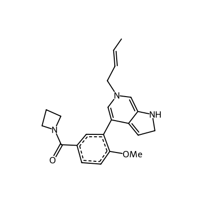 C/C=C/CN1C=C2NCC=C2C(c2cc(C(=O)N3CCC3)ccc2OC)=C1